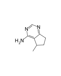 CC1CCc2ncnc(N)c21